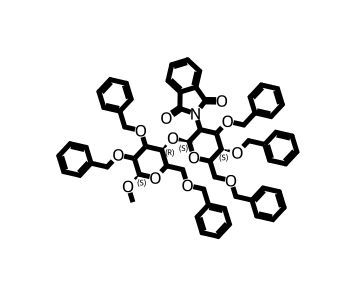 CO[C@H]1OC(COCc2ccccc2)[C@@H](O[C@@H]2OC(COCc3ccccc3)[C@@H](OCc3ccccc3)C(OCc3ccccc3)C2N2C(=O)c3ccccc3C2=O)C(OCc2ccccc2)C1OCc1ccccc1